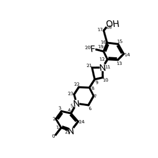 Cc1ccc(N2CCC(C3CN(c4cccc(CO)c4F)C3)CC2)cn1